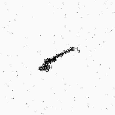 COCCOCCOCCOCCOCCn1cc(-c2cnc(C(=O)N3CCC4(CC3)NC(=O)N(Cc3ccccc3)C4=O)nc2)nn1